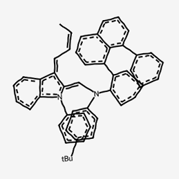 C\C=C/C=c1\c(=C\N(c2ccc(C(C)(C)C)cc2)c2ccccc2-c2cccc3cccc(-c4ccccc4)c23)n(-c2ccccc2)c2ccccc12